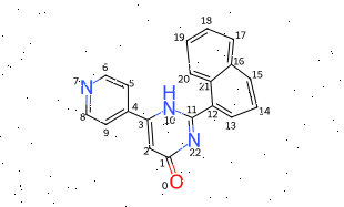 O=c1cc(-c2ccncc2)[nH]c(-c2cccc3ccccc23)n1